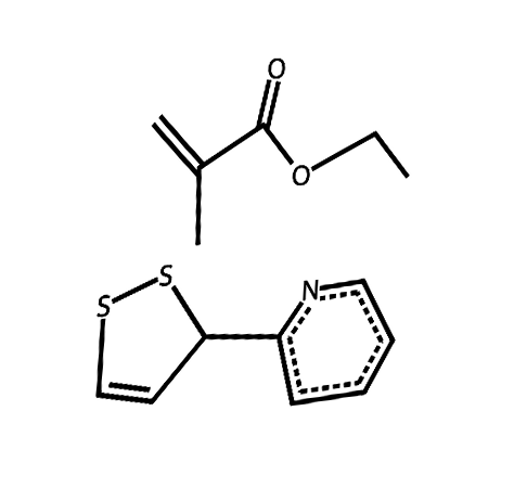 C1=CC(c2ccccn2)SS1.C=C(C)C(=O)OCC